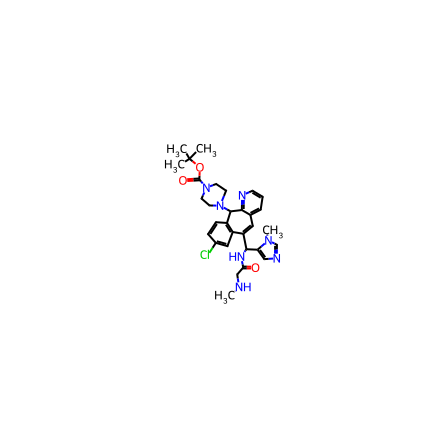 CNCC(=O)NC(C1=Cc2cccnc2C(N2CCN(C(=O)OC(C)(C)C)CC2)c2ccc(Cl)cc21)c1cncn1C